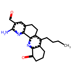 CCCCc1c2c(nc3c1CCc1cc(C=O)c(N)nc1-3)C(=O)CCC2